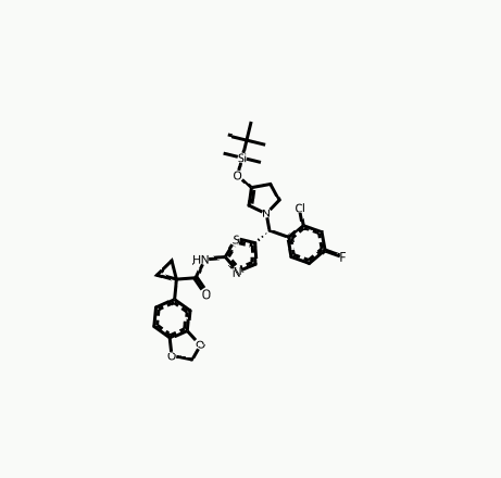 CC(C)(C)[Si](C)(C)OC1=CN([C@@H](c2cnc(NC(=O)C3(c4ccc5c(c4)OCO5)CC3)s2)c2ccc(F)cc2Cl)CC1